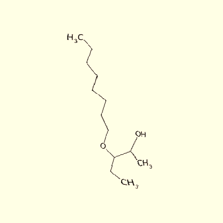 CCCCCCCCOC(CC)C(C)O